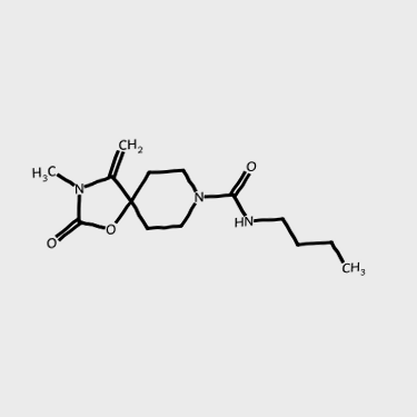 C=C1N(C)C(=O)OC12CCN(C(=O)NCCCC)CC2